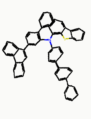 c1ccc(-c2ccc(-c3ccc(N(c4cc(-c5cc6ccccc6c6ccccc56)ccc4-c4ccccc4)c4cccc5c4sc4ccccc45)cc3)cc2)cc1